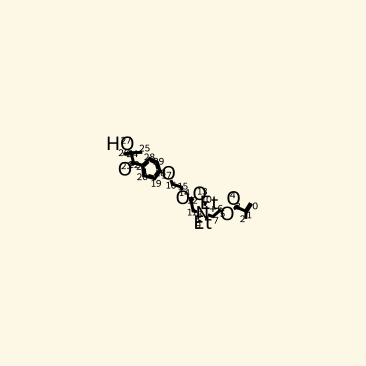 C=C(C)C(=O)OCC[N+](CC)(CC)CC(=O)OCCOc1ccc(C(=O)C(C)(C)O)cc1